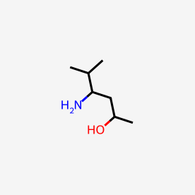 CC(O)CC(N)C(C)C